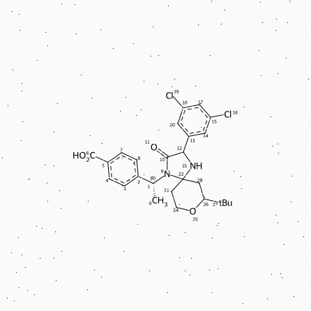 C[C@H](c1ccc(C(=O)O)cc1)N1C(=O)C(c2cc(Cl)cc(Cl)c2)NC12CCOC(C(C)(C)C)C2